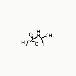 CC(I)NS(C)(=O)=O